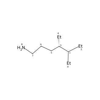 CCC(CC)[C@@H](CC)CCCN